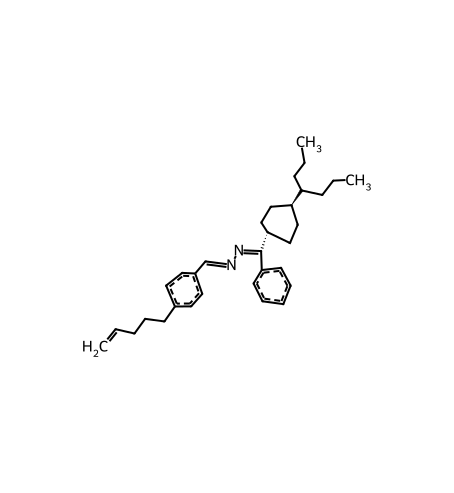 C=CCCCc1ccc(C=NN=C(c2ccccc2)[C@H]2CC[C@H](C(CCC)CCC)CC2)cc1